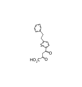 O=C(O)C(=O)CC(=O)c1ccc(CCc2ccccc2)s1